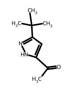 CC(=O)c1cc(C(C)(C)C)n[nH]1